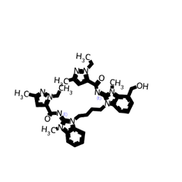 CCn1nc(C)cc1C(=O)/N=c1\n(C)c2ccccc2n1CCCCn1/c(=N/C(=O)c2cc(C)nn2CC)n(C)c2c(CO)cccc21